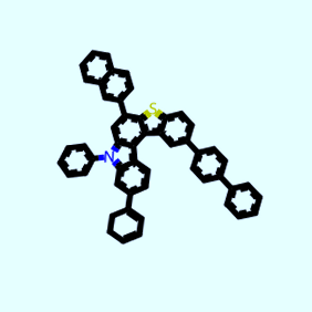 C1=CCCC(c2ccc3c4c5c(sc6ccc(-c7ccc(-c8ccccc8)cc7)cc65)c(-c5ccc6ccccc6c5)cc4n(-c4ccccc4)c3c2)=C1